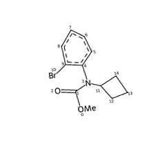 COC(=O)N(c1ccccc1Br)C1CCC1